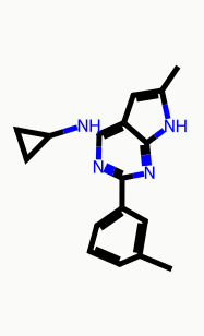 Cc1cccc(-c2nc(NC3CC3)c3cc(C)[nH]c3n2)c1